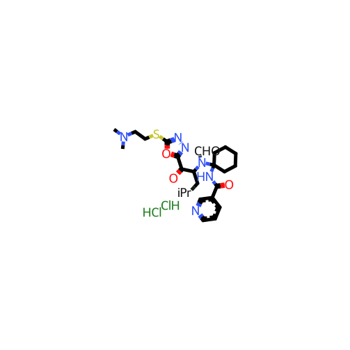 CC(C)CC(C(=O)c1nnc(SCCN(C)C)o1)N(C=O)C1(NC(=O)c2cccnc2)CCCCC1.Cl.Cl